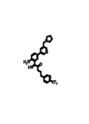 N=C(C(=O)CCCc1ccc(C(F)(F)F)nc1)c1cc(-c2cncc(CN3CCCC3)c2)ccc1N